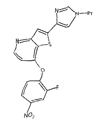 CC(C)n1cnc(-c2cc3nccc(Oc4ccc([N+](=O)[O-])cc4F)c3s2)c1